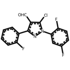 O=Cc1c(-c2ccccc2F)nn(-c2cc(F)ccc2F)c1Cl